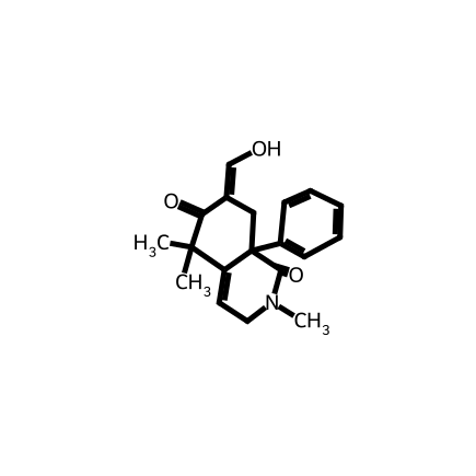 CN1CC=C2C(C)(C)C(=O)/C(=C/O)CC2(c2ccccc2)C1=O